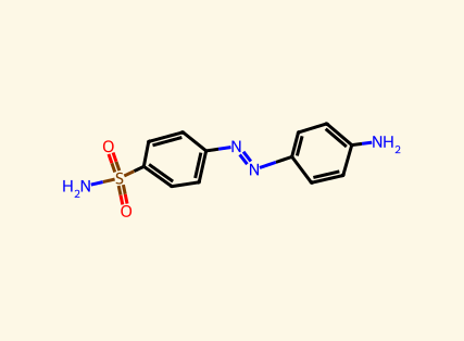 Nc1ccc(/N=N/c2ccc(S(N)(=O)=O)cc2)cc1